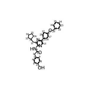 O=C(Cc1ccc(O)cc1)Nc1ncc(-c2ccc(OCc3ccccc3)cc2)nc1CC1CCCC1